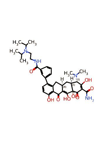 CC(C)N(CCNC(=O)c1cccc(-c2ccc(O)c3c2C[C@H]2C[C@H]4[C@H](N(C)C)C(O)=C(C(N)=O)C(=O)[C@@]4(O)C(O)=C2C3=O)c1)C(C)C